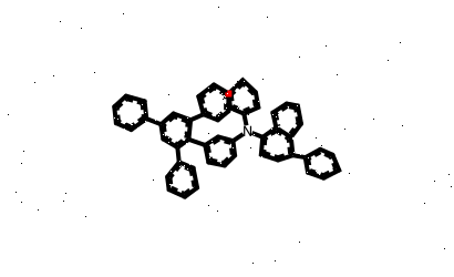 c1ccc(-c2cc(-c3ccccc3)c(-c3cccc(N(c4ccccc4)c4ccc(-c5ccccc5)c5ccccc45)c3)c(-c3ccccc3)c2)cc1